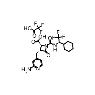 Nc1cc(C[C@H]2C(=O)N(C(=O)N[C@@H](C3CCCCC3)C(F)(F)F)[C@@H]2C(=O)O)ccn1.O=C(O)C(F)(F)F